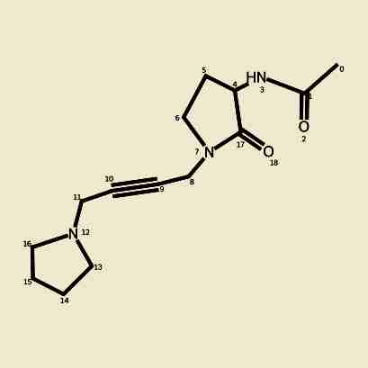 CC(=O)NC1CCN(CC#CCN2CCCC2)C1=O